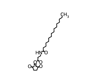 CCCCCCCCCCCCCCCC(=O)NCCC(=O)ON1C(=O)CCC1=O